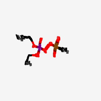 CCOP(=O)(OCC)OOS(C)(=O)=O